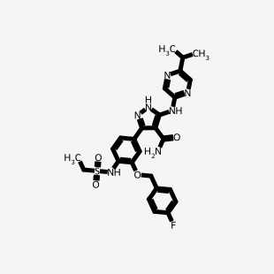 CCS(=O)(=O)Nc1ccc(-c2n[nH]c(Nc3cnc(C(C)C)cn3)c2C(N)=O)cc1OCc1ccc(F)cc1